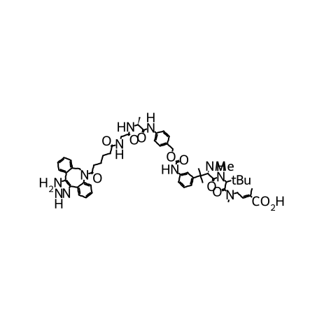 CN[C@H](C(=O)NC(C(=O)N(C)C/C=C(\C)C(=O)O)C(C)(C)C)C(C)(C)c1cccc(NC(=O)OCc2ccc(NC(=O)[C@H](C)NC(=O)CNC(=O)CCCCC(=O)N3Cc4ccccc4/C(N)=C(/N=N)c4ccccc43)cc2)c1